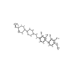 C=CC1CCC(C2CCC(CCc3ccc(-c4ccc(OCC)c(F)c4F)c(F)c3F)CC2)CO1